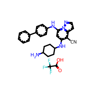 N#Cc1c(NC2CCC(N)CC2)cc(Nc2ccc(-c3ccccc3)cc2)n2nccc12.O=C(O)C(F)(F)F